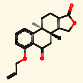 C=CCOc1cccc2c1C(=O)C[C@H]1C3=C(CC[C@]21C)C(=O)OC3